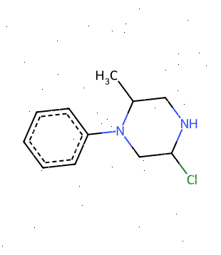 CC1CNC(Cl)CN1c1ccccc1